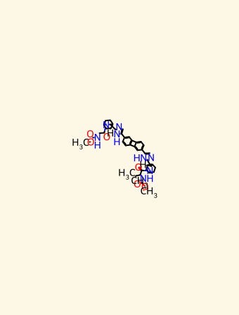 COC(=O)NCC(=O)N1C2CCC(CC2)[C@H]1c1ncc(-c2ccc3c(c2)-c2ccc(-c4cnc([C@@H]5C6CCC(CC6)N5C(=O)[C@@H](NC(=O)OC)C(C)C)[nH]4)cc2-3)[nH]1